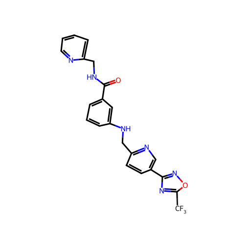 O=C(NCc1ccccn1)c1cccc(NCc2ccc(-c3noc(C(F)(F)F)n3)cn2)c1